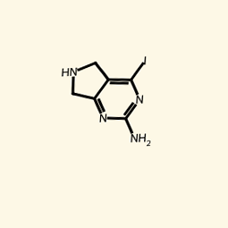 Nc1nc(I)c2c(n1)CNC2